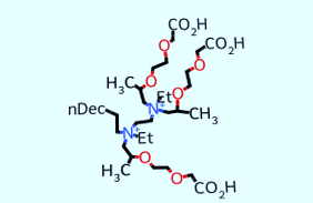 CCCCCCCCCCCC[N+](CC)(CC[N+](CC)(CC(C)OCCOCC(=O)O)CC(C)OCCOCC(=O)O)CC(C)OCCOCC(=O)O